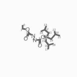 CCOC(=O)/N=N/C(=O)O[Si](CC(C)C)(CC(C)C)CC(C)C